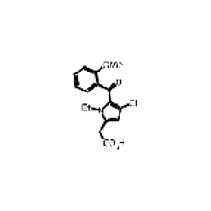 CCn1c(CC(=O)O)cc(Cl)c1C(=O)c1ccccc1OC